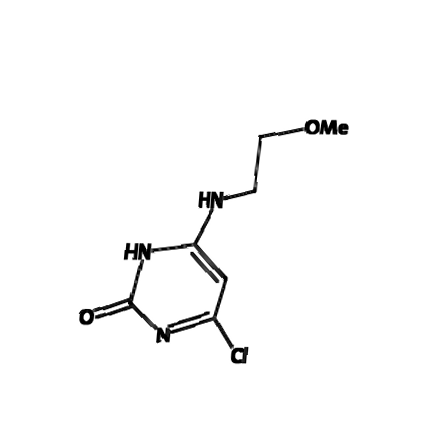 COCCNc1cc(Cl)nc(=O)[nH]1